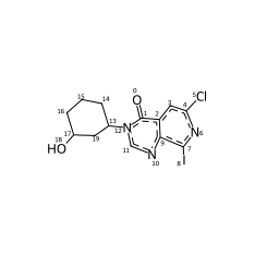 O=c1c2cc(Cl)nc(I)c2ncn1C1CCCC(O)C1